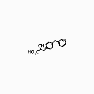 CC(Cc1ccc(Cc2cccnc2)cc1)C(=O)O